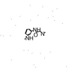 CNc1cccc(NC(=O)CN(C)C)c1